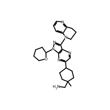 CC1(CN)CCC(c2cnc3c(N4CCCc5ncccc54)nn(C4CCCCO4)c3n2)CC1